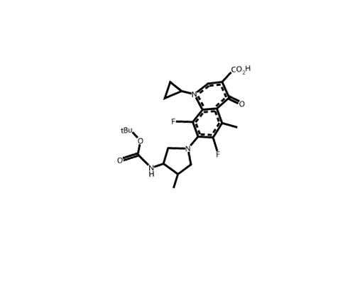 Cc1c(F)c(N2CC(C)C(NC(=O)OC(C)(C)C)C2)c(F)c2c1c(=O)c(C(=O)O)cn2C1CC1